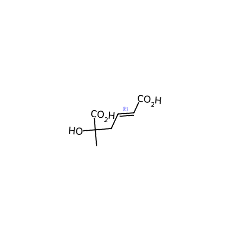 CC(O)(C/C=C/C(=O)O)C(=O)O